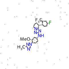 COc1cc(Nc2nc3c(-c4ccc(F)cc4C(F)(F)F)cccn3n2)ccc1-n1cnc(C)n1